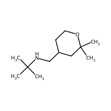 CC(C)(C)NCC1CCOC(C)(C)C1